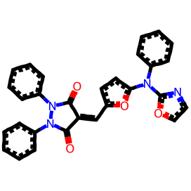 O=C1C(=Cc2ccc(N(c3ccccc3)c3ncco3)o2)C(=O)N(c2ccccc2)N1c1ccccc1